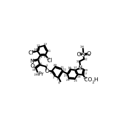 Cc1cc(OCc2c(-c3c(Cl)cccc3Cl)noc2C(C)C)ccc1-c1ccc2c(C(=O)O)cn(CCS(C)(=O)=O)c2c1